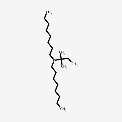 CCCCCCCCP(CCCCCCCC)C(C)(C)CC